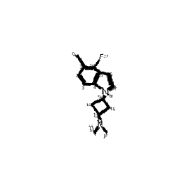 Cc1ccc2c(ccn2C2CC(N(C)C)C2)c1F